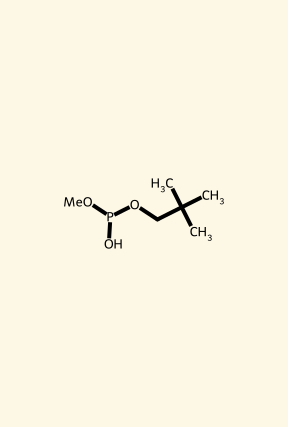 COP(O)OCC(C)(C)C